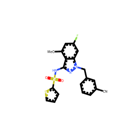 COc1cc(F)cc2c1c(NS(=O)(=O)c1cccs1)nn2Cc1cccc(C#N)c1